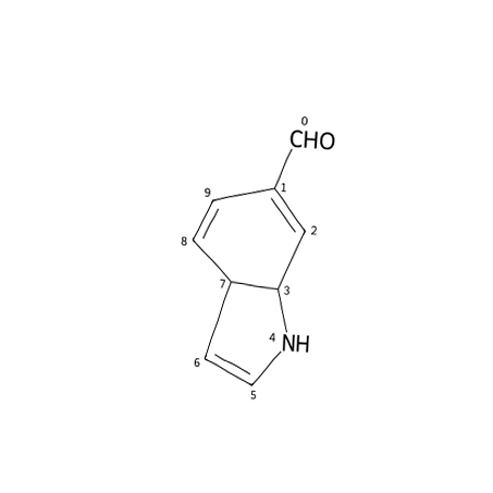 O=CC1=CC2NC=CC2C=C1